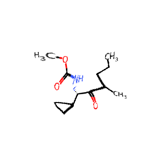 CCCC(C)C(=O)[C@@H](NC(=O)OC)C1CC1